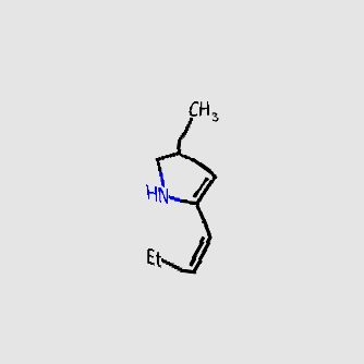 CC/C=C\C1=CC(C)CN1